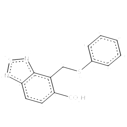 O=C(O)c1ccc2nsnc2c1CSc1ccccc1